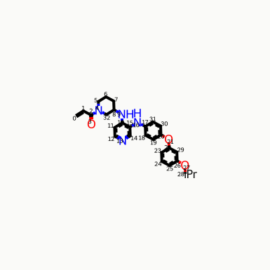 C=CC(=O)N1CCCC(Nc2ccncc2Nc2ccc(Oc3cccc(OC(C)C)c3)cc2)C1